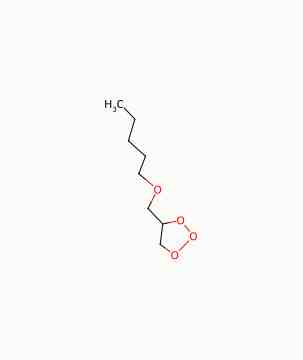 CCCCCOCC1COOO1